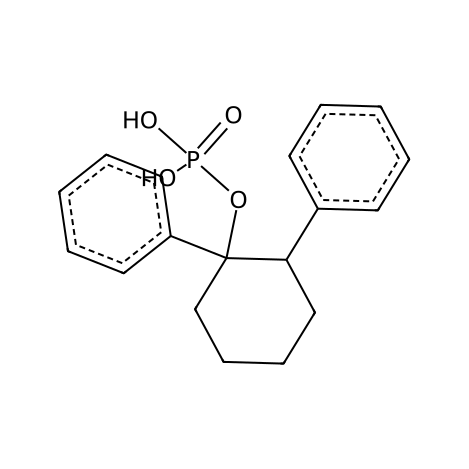 O=P(O)(O)OC1(c2ccccc2)CCCCC1c1ccccc1